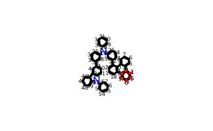 c1ccc(-c2ccccc2-c2c(-c3ccccc3)cccc2-c2cccc(N(c3ccccc3)c3cccc(-c4ccc5c(c4)c4ccccc4n5-c4ccccc4)c3)c2)cc1